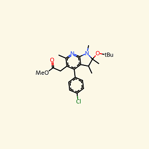 COC(=O)Cc1c(C)nc2c(c1-c1ccc(Cl)cc1)C(C)C(C)(OC(C)(C)C)N2C